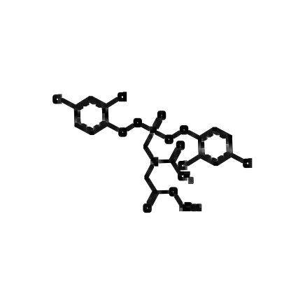 CCCCCCCCCCOC(=O)CN(CP(=O)(OOc1ccc(Cl)cc1Cl)OOc1ccc(Cl)cc1Cl)C(=O)C(F)(F)F